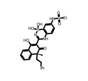 CCS(=O)(=O)Nc1ccc2c(c1)S(O)(O)N=C(C1=C(O)c3ccccc3[C@@](C)(CCC(C)C)C1=O)N2